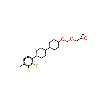 Cc1ccc(C2CCC(C3CCC(OCOCC4CO4)CC3)CC2)c(F)c1F